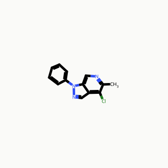 Cc1ncc2c(cnn2-c2ccccc2)c1Cl